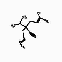 CC=CCC(C#N)(CC=C(C)C)C(C)C